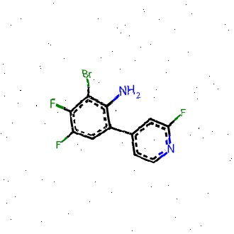 Nc1c(-c2ccnc(F)c2)cc(F)c(F)c1Br